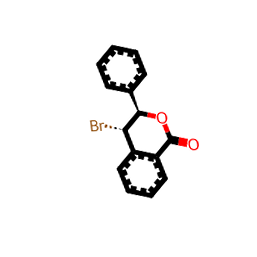 O=C1O[C@H](c2ccccc2)[C@@H](Br)c2ccccc21